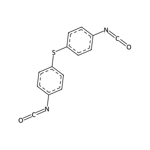 O=C=Nc1ccc(Sc2ccc(N=C=O)cc2)cc1